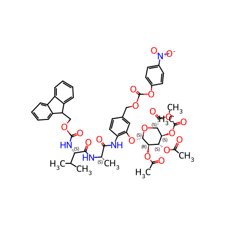 COC(=O)[C@H]1O[C@@H](Oc2cc(COC(=O)Oc3ccc([N+](=O)[O-])cc3)ccc2NC(=O)[C@H](C)NC(=O)[C@@H](NC(=O)OCC2c3ccccc3-c3ccccc32)C(C)C)[C@H](OC(C)=O)[C@@H](OC(C)=O)[C@@H]1OC(C)=O